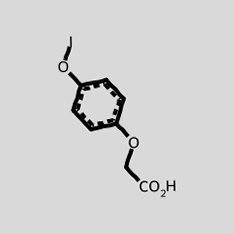 O=C(O)COc1ccc(OI)cc1